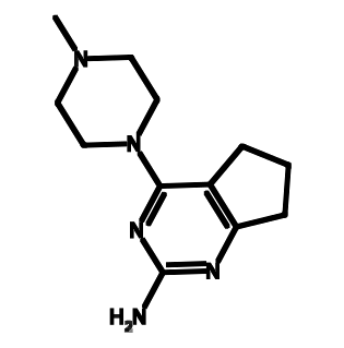 CN1CCN(c2nc(N)nc3c2CCC3)CC1